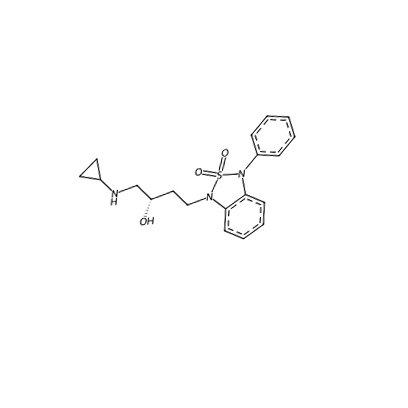 O=S1(=O)N(CC[C@H](O)CNC2CC2)c2ccccc2N1c1ccccc1